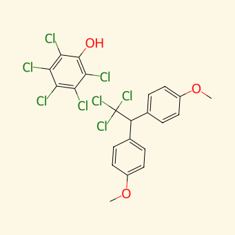 COc1ccc(C(c2ccc(OC)cc2)C(Cl)(Cl)Cl)cc1.Oc1c(Cl)c(Cl)c(Cl)c(Cl)c1Cl